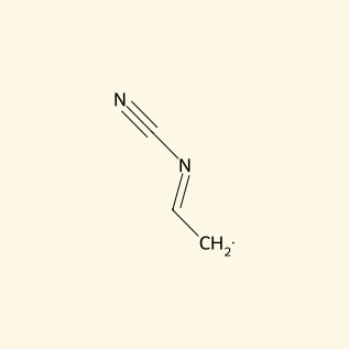 [CH2]C=NC#N